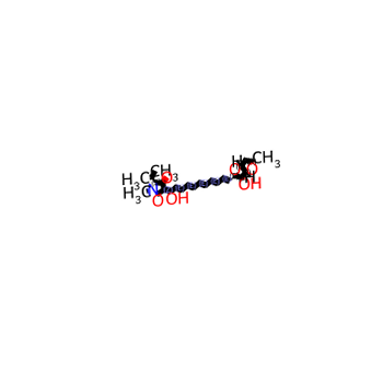 CC(C)[C@H]1C(=O)\C(=C(O)/C=C/C=C/C=C/C=C/C=C/[C@@H]2O[C@@H]3C[C@@H](C)O[C@@H]3[C@@H]2O)C(=O)N1C